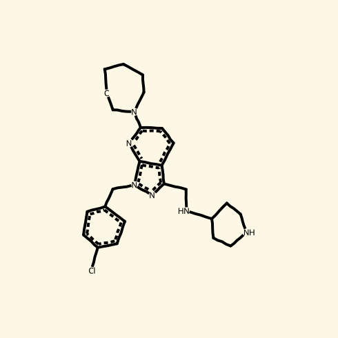 Clc1ccc(Cn2nc(CNC3CCNCC3)c3ccc(N4CCCCCC4)nc32)cc1